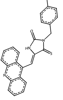 O=C1NC(=Cc2c3ccccc3nc3ccccc23)C(=S)N1Cc1ccc(Cl)cc1